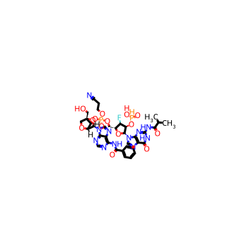 CC(C)C(=O)Nc1nc2c(ncn2[C@@H]2O[C@H](COP(=O)(OCCC#N)O[C@H]3[C@H]4OC[C@]3(CO)O[C@H]4n3cnc4c(NC(=O)c5ccccc5)ncnc43)[C@@H](F)[C@H]2O[PH](=O)O)c(=O)[nH]1